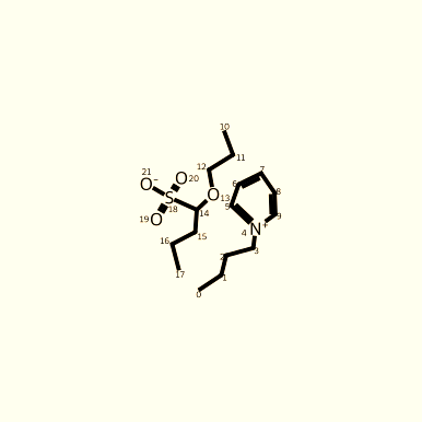 CCCC[n+]1ccccc1.CCCOC(CCC)S(=O)(=O)[O-]